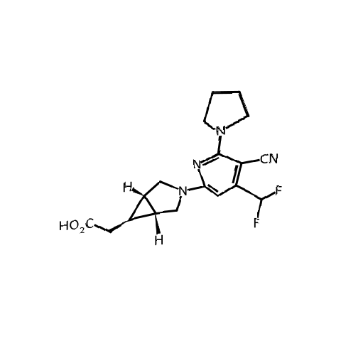 N#Cc1c(C(F)F)cc(N2C[C@@H]3[C@@H](CC(=O)O)[C@@H]3C2)nc1N1CCCC1